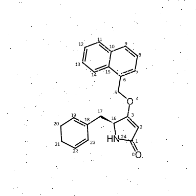 O=C1C=C(OCc2cccc3ccccc23)[C@H](CC2=CCCC=C2)N1